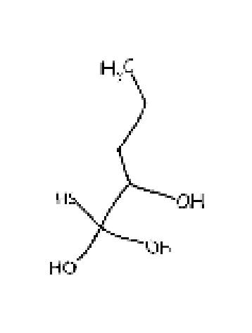 CCCC(O)C(O)(O)S